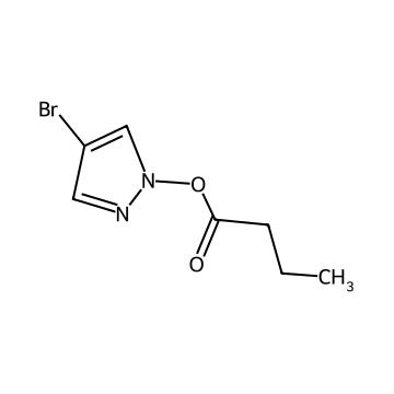 CCCC(=O)On1cc(Br)cn1